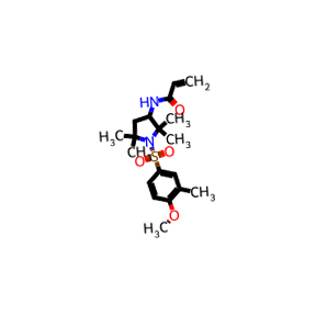 C=CC(=O)NC1CC(C)(C)N(S(=O)(=O)c2ccc(OC)c(C)c2)C1(C)C